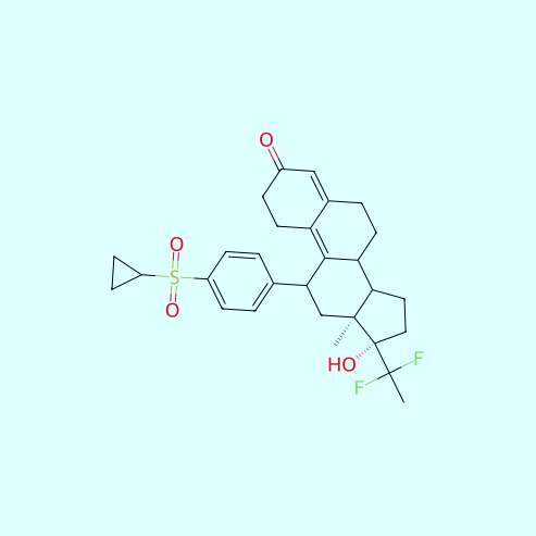 CC(F)(F)[C@]1(O)CCC2C3CCC4=CC(=O)CCC4=C3C(c3ccc(S(=O)(=O)C4CC4)cc3)C[C@@]21C